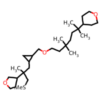 CSCC(C)(CC1CC1COCCC(C)(C)CCC(C)(C)C1CCOCC1)C1CCOC1